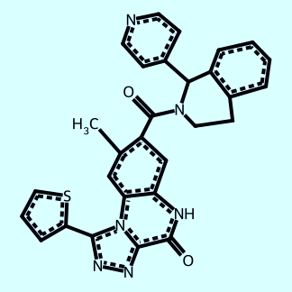 Cc1cc2c(cc1C(=O)N1CCc3ccccc3C1c1ccncc1)[nH]c(=O)c1nnc(-c3cccs3)n12